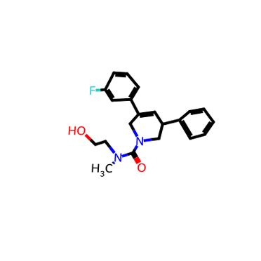 CN(CCO)C(=O)N1CC(c2cccc(F)c2)=CC(c2ccccc2)C1